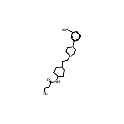 CSc1cccc(N2CCN(CCC3CCC(NC(=O)CCC#N)CC3)CC2)c1